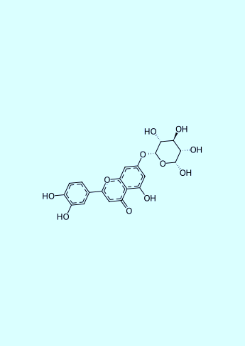 O=c1cc(-c2ccc(O)c(O)c2)oc2cc(O[C@H]3O[C@@H](O)[C@@H](O)[C@H](O)[C@H]3O)cc(O)c12